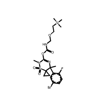 CN1C(OC(=O)NCOCC[Si](C)(C)C)=NC(C)(c2cc(Br)ccc2F)C2(CC2)S1(=O)=O